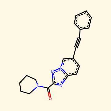 O=C(c1nc2ccc(C#Cc3ccccc3)cn2n1)N1CCCCC1